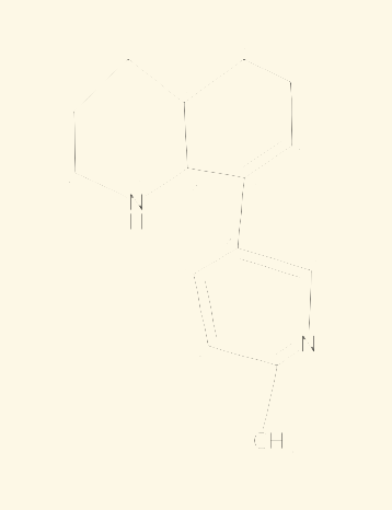 Cc1ccc(C2=CCCC3CCCNC23)cn1